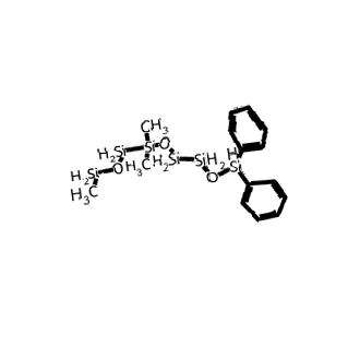 C[SiH2]O[SiH2][Si](C)(C)O[SiH2][SiH2]O[SiH](c1ccccc1)c1ccccc1